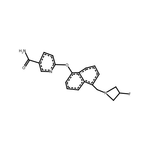 NC(=O)c1ccc(Oc2cccc3c(CN4CC(F)C4)cccc23)nc1